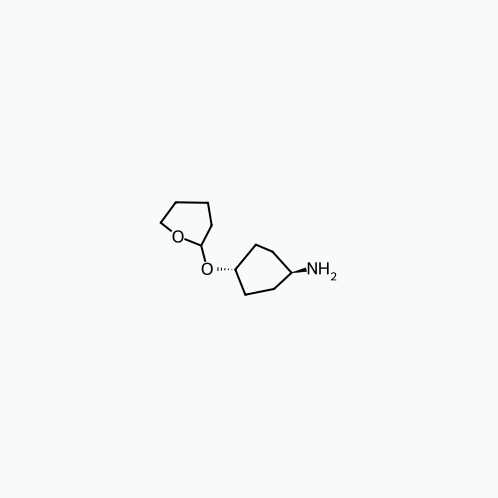 N[C@H]1CC[C@H](OC2CCCCO2)CC1